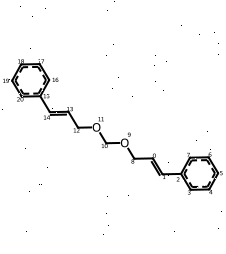 C(=Cc1ccccc1)COCOCC=Cc1ccccc1